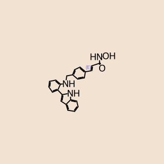 O=C(/C=C/c1ccc(CNc2ccccc2-c2cc3ccccc3[nH]2)cc1)NO